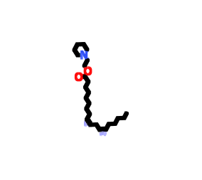 CCCCC/C=C\C/C=C\CCCCCCCC(=O)OCCN1CCCCC1